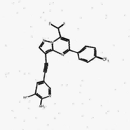 N#Cc1cc(C#Cc2cnn3c(C(F)F)cc(-c4ccc(C(F)(F)F)cc4)nc23)cnc1N